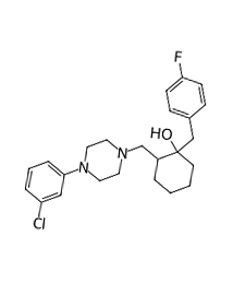 OC1(Cc2ccc(F)cc2)CCCCC1CN1CCN(c2cccc(Cl)c2)CC1